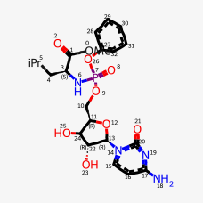 COC(=O)[C@H](CC(C)C)NP(=O)(OC[C@H]1O[C@@H](n2ccc(N)nc2=O)[C@H](O)C1O)Oc1ccccc1